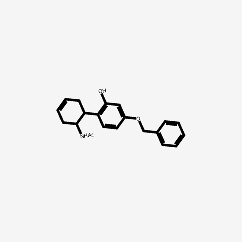 CC(=O)NC1CC=CCC1c1ccc(OCc2ccccc2)cc1O